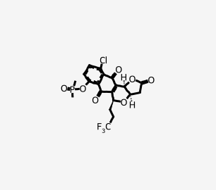 CP(C)(=O)Oc1ccc(Cl)c2c1C(=O)C1=C(C2=O)[C@H]2OC(=O)C[C@H]2O[C@H]1CCC(F)(F)F